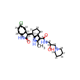 Cc1[nH]c2c(c1C(=O)NCC(O)CN1CCCCC1)CCC/C2=C1/C(=O)Nc2ccc(Cl)cc21